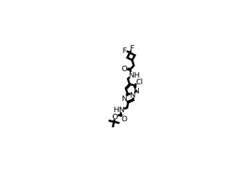 CC(C)(C)OC(=O)NCc1cn2nc(Cl)c(CNC(=O)CC3CC(F)(F)C3)cc2n1